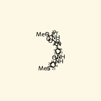 COC(=O)[C@@H](NC(=O)c1cc(-c2ccc(NC(=O)Nc3ccc(SC)cc3)cc2)no1)C(C)C